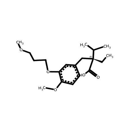 CC[C@](Cc1ccc(OC)c(OCCCOC)c1)(C(=O)O)C(C)C